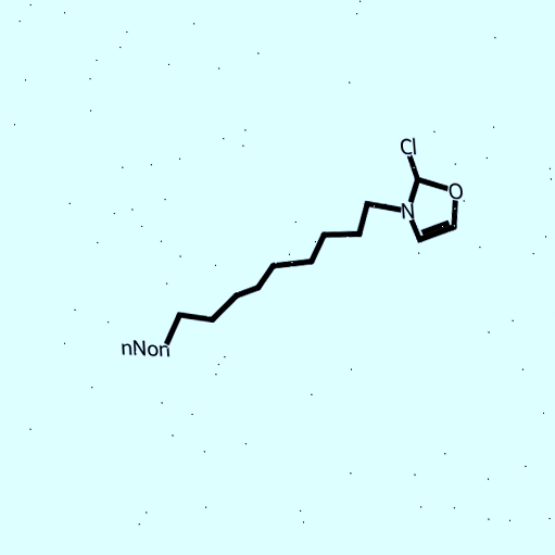 CCCCCCCCCCCCCCCCCCN1C=COC1Cl